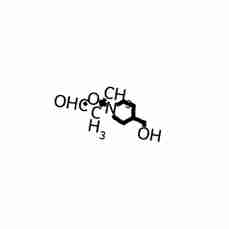 CC(C)(OC=O)N1CCC(CO)CC1